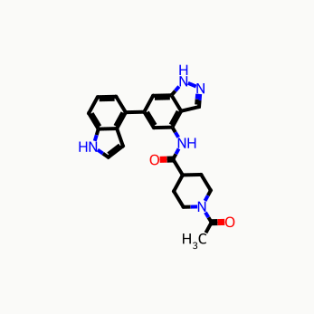 CC(=O)N1CCC(C(=O)Nc2cc(-c3cccc4[nH]ccc34)cc3[nH]ncc23)CC1